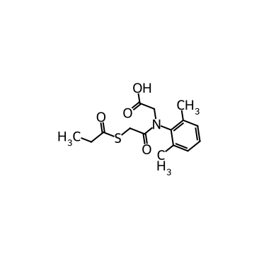 CCC(=O)SCC(=O)N(CC(=O)O)c1c(C)cccc1C